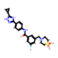 O=C(Nc1ccc(-c2n[nH]c(C3CC3)n2)cc1)c1cc(F)cc(CN2CCS(=O)(=O)CC2)c1